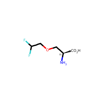 N[C@@H](COCC(F)F)C(=O)O